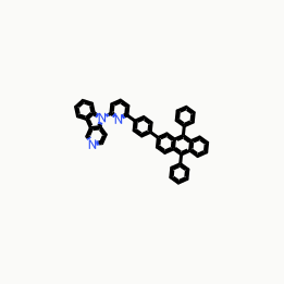 c1ccc(-c2c3ccccc3c(-c3ccccc3)c3cc(-c4ccc(-c5cccc(-n6c7ccccc7c7cnccc76)n5)cc4)ccc23)cc1